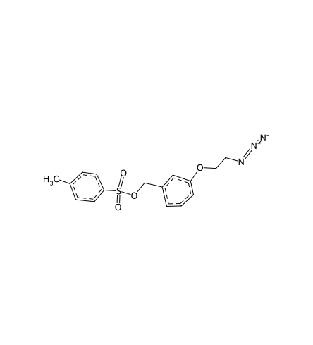 Cc1ccc(S(=O)(=O)OCc2cccc(OCCN=[N+]=[N-])c2)cc1